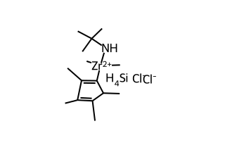 CC1=C(C)C(C)[C]([Zr+2]([CH3])([CH3])[NH]C(C)(C)C)=C1C.[Cl-].[Cl-].[SiH4]